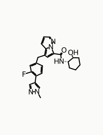 Cn1cc(-c2ccc(Cc3cc(C(=O)N[C@H]4CCCC[C@@H]4O)n4ncccc34)cc2F)cn1